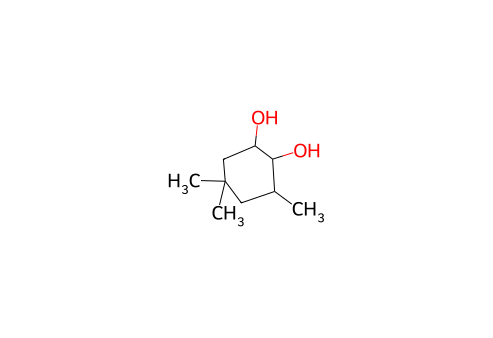 CC1CC(C)(C)CC(O)C1O